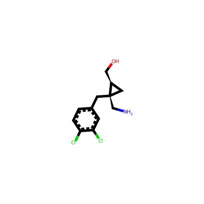 NC[C@]1(Cc2ccc(Cl)c(Cl)c2)C[C@@H]1CO